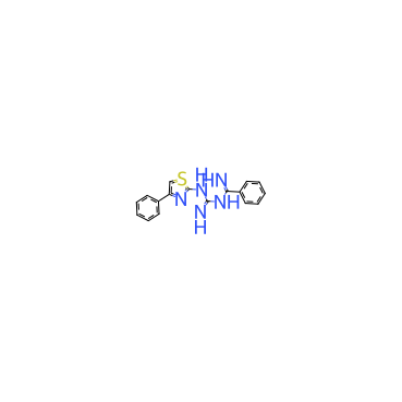 N=C(NC(=N)c1ccccc1)Nc1nc(-c2ccccc2)cs1